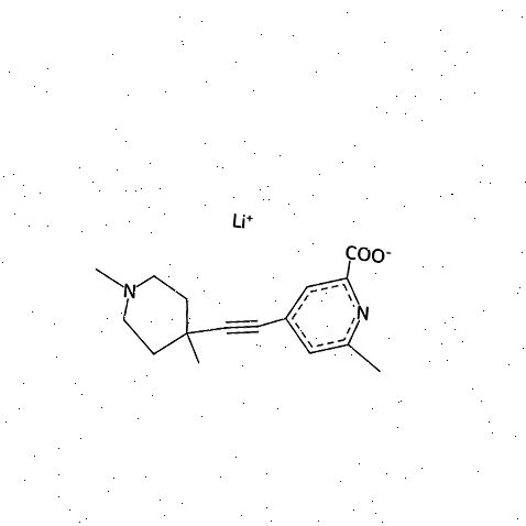 Cc1cc(C#CC2(C)CCN(C)CC2)cc(C(=O)[O-])n1.[Li+]